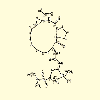 CN(C)S(=O)(=O)N(C)CC(NC(=O)N[C@H]1CCCCCCCC2C[C@@]2(C(=O)O)NC(=O)C2CCCN2C1=O)C(C)(C)C